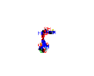 COc1nc(Nc2cc(S(C)(=O)=O)ccc2N[C@@H](c2cccc3c2OC(F)(F)O3)c2ncccc2Cl)nc(N2CCN(CCOCCOCCN[C@H](C(=O)N3C[C@H](O)C[C@H]3C(=O)NCc3ccc(-c4scnc4C)cc3)C(C)(C)C)CC2)n1